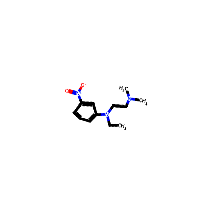 CCN(CCN(C)C)c1cc[c]c([N+](=O)[O-])c1